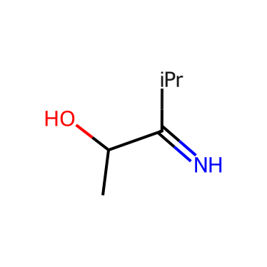 CC(C)C(=N)C(C)O